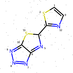 c1csc(C2N=C3N=NN=C3S2)n1